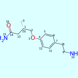 C[C@H](COc1ccc([CH]CN)cc1)CC(N)=O